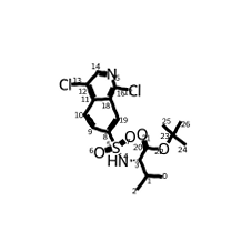 CC(C)[C@H](NS(=O)(=O)c1ccc2c(Cl)cnc(Cl)c2c1)C(=O)OC(C)(C)C